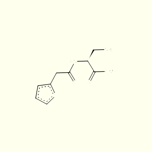 COC(=O)[C@H](CN)NC(=O)Cc1cccs1